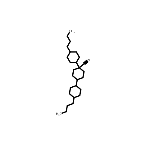 CCCCC1CCC(C2CCC(C#N)(C3CCC(CCCC)CC3)CC2)CC1